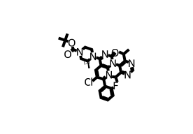 CC(C)c1ncnc(C(C)C)c1-n1c(=O)nc(N2CCN(C(=O)OC(C)(C)C)C[C@@H]2C)c2cc(Cl)c(-c3ccccc3F)nc21